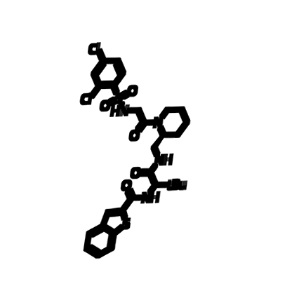 CC(C)(C)C(NC(=O)c1cc2ccccc2s1)C(=O)NC[C@@H]1CCCCN1C(=O)CNS(=O)(=O)c1ccc(Cl)cc1Cl